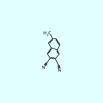 Cc1ccc2cc(C#N)c(C#N)cc2c1